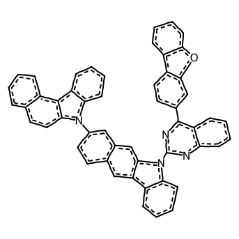 c1ccc2c(c1)ccc1c2c2ccccc2n1-c1ccc2cc3c4ccccc4n(-c4nc(-c5ccc6c(c5)oc5ccccc56)c5ccccc5n4)c3cc2c1